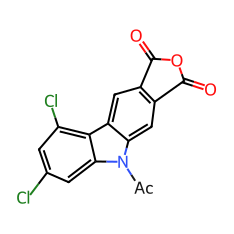 CC(=O)n1c2cc3c(cc2c2c(Cl)cc(Cl)cc21)C(=O)OC3=O